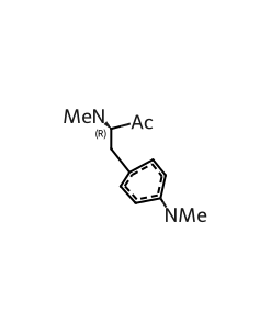 CNc1ccc(C[C@@H](NC)C(C)=O)cc1